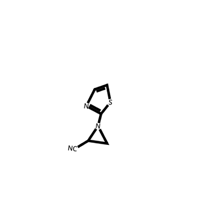 N#CC1CN1c1nccs1